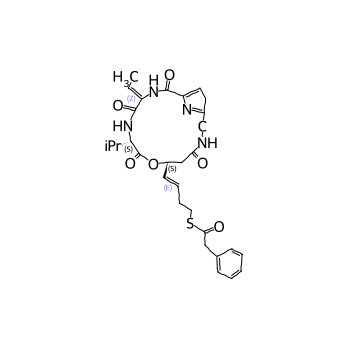 C/C=C1\NC(=O)C2=CCC(=N2)CNC(=O)C[C@@H](/C=C/CCSC(=O)Cc2ccccc2)OC(=O)[C@H](C(C)C)NC1=O